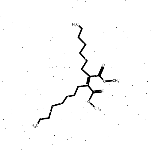 CCCCCCCC/C(C(=O)OC)=C(\CCCCCCC)C(=O)OC